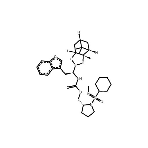 CN=S(=O)(C1CCCCC1)N1CCC[C@@H]1COC(=O)N[C@@H](Cc1coc2ccccc12)B1O[C@@H]2C[C@@H]3C[C@@H](C3(C)C)[C@]2(C)O1